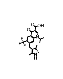 Cc1n[nH]c(C)c1Cc1cc2c(cc1C(F)(F)F)c(=O)c(C(=O)O)cn2C(C)C